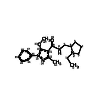 CCN1CCCC1CNC(=O)c1c(C)nn(-c2ccccc2)c1OC